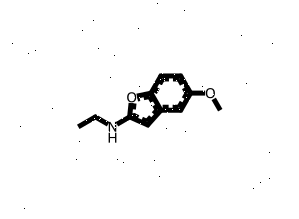 CCNc1cc2cc(OC)ccc2o1